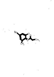 CCC(=O)Oc1c(C)cc(Br)cc1Cl